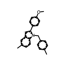 COc1ccc(-c2[c]c3cc(C)ccc3n2Cc2ccc(C)cc2)cc1